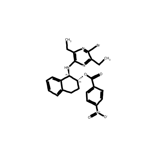 CCc1nc(N[C@@H]2c3ccccc3CC[C@H]2OC(=O)c2ccc([N+](=O)[O-])cc2)c(CC)nc1Br